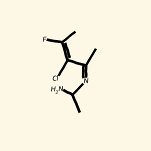 CC(=N/C(C)N)/C(Cl)=C(\C)F